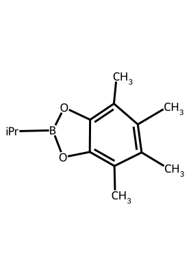 Cc1c(C)c(C)c2c(c1C)OB(C(C)C)O2